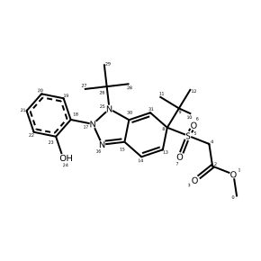 COC(=O)CS(=O)(=O)C1(C(C)(C)C)C=CC2=NN(c3ccccc3O)N(C(C)(C)C)C2=C1